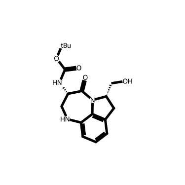 CC(C)(C)OC(=O)N[C@H]1CNc2cccc3c2N(C1=O)[C@H](CO)C3